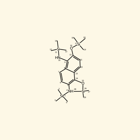 C[Si](C)(C)Nc1ccc2c(N[Si](C)(C)C)c(O[Si](C)(C)C)ccc2c1O[Si](C)(C)C